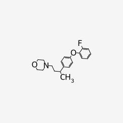 CC(CCN1CCOCC1)c1ccc(Oc2ccccc2F)cc1